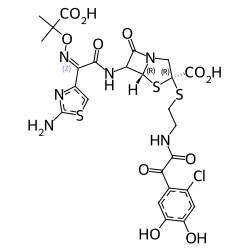 CC(C)(O/N=C(\C(=O)NC1C(=O)N2C[C@](SCCNC(=O)C(=O)c3cc(O)c(O)cc3Cl)(C(=O)O)S[C@H]12)c1csc(N)n1)C(=O)O